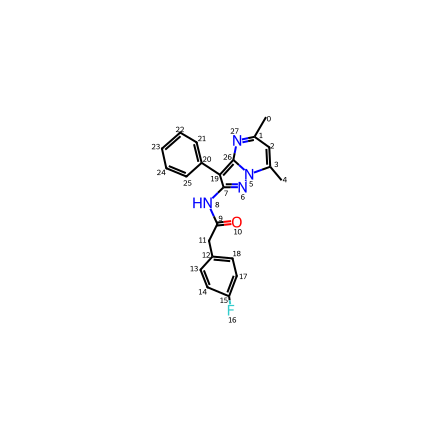 Cc1cc(C)n2nc(NC(=O)Cc3ccc(F)cc3)c(-c3ccccc3)c2n1